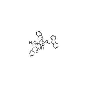 CN(C(=O)[C@H](Cc1ccccc1)NC(=O)OCC1c2ccccc2-c2ccccc21)[C@@H](Cc1ccccc1)C(=O)O